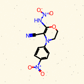 N#CC1=C(N[N+](=O)[O-])OCCN1c1ccc([N+](=O)[O-])cc1